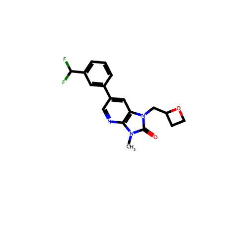 Cn1c(=O)n(CC2CCO2)c2cc(-c3cccc(C(F)F)c3)cnc21